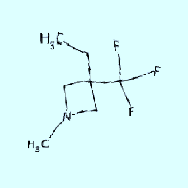 CCC1(C(F)(F)F)CN(C)C1